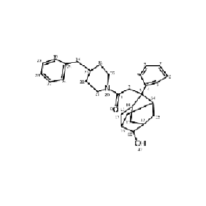 O=C(CC1(c2ccccc2)C2CC3CC1CC(C2)C3O)N1CCC(Cc2ccccc2)CC1